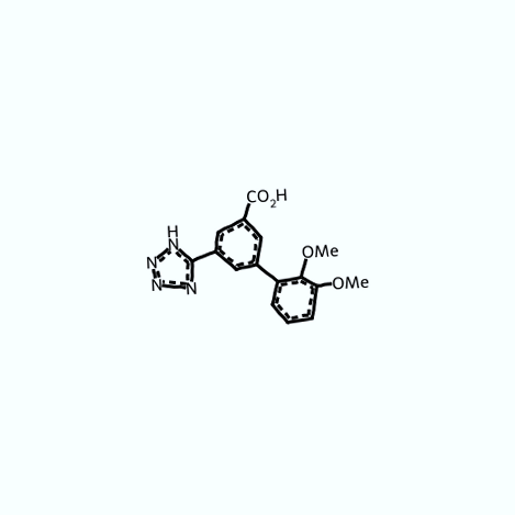 COc1cccc(-c2cc(C(=O)O)cc(-c3nnn[nH]3)c2)c1OC